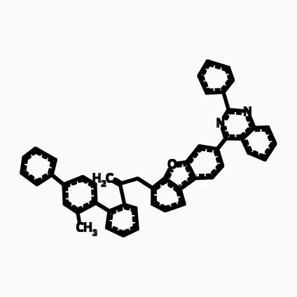 C=C(Cc1cccc2c1oc1cc(-c3nc(-c4ccccc4)nc4ccccc34)ccc12)c1ccccc1-c1ccc(-c2ccccc2)cc1C